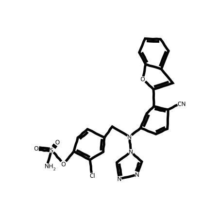 N#Cc1ccc(N(Cc2ccc(OS(N)(=O)=O)c(Cl)c2)n2cnnc2)cc1-c1cc2ccccc2o1